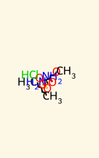 CCCC(CCC)S(=O)(=O)C[C@@](N)(C(N)=O)C(=O)CCOC.Cl